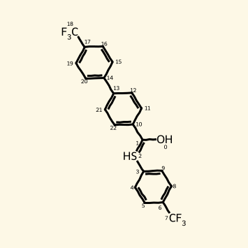 OC(=[SH]c1ccc(C(F)(F)F)cc1)c1ccc(-c2ccc(C(F)(F)F)cc2)cc1